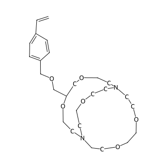 C=Cc1ccc(COCC2COCCN3CCOCCOCCN(CCOCC3)CCO2)cc1